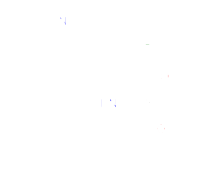 CCC(C)c1cncc(F)c1NC(=O)OC